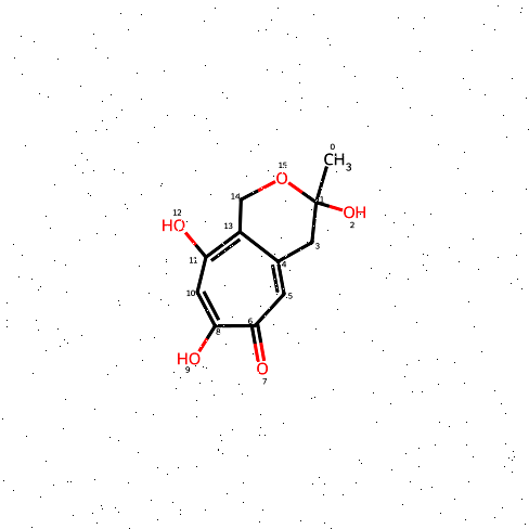 CC1(O)Cc2cc(=O)c(O)cc(O)c2CO1